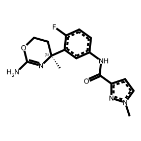 Cn1ccc(C(=O)Nc2ccc(F)c([C@]3(C)CCOC(N)=N3)c2)n1